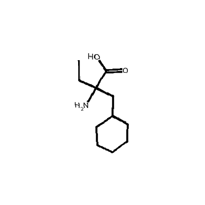 CCC(N)(CC1CCCCC1)C(=O)O